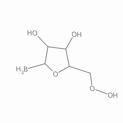 BC1OC(COO)C(O)C1O